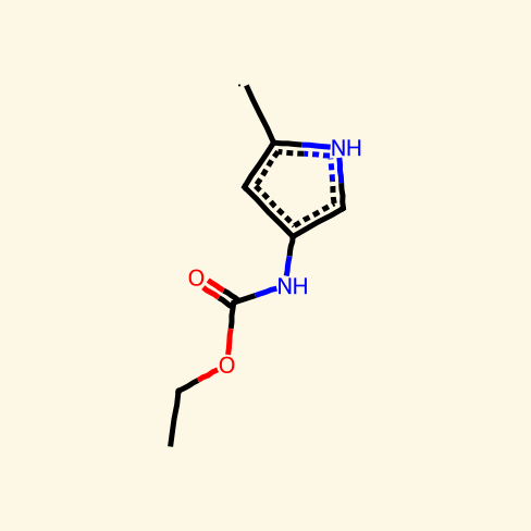 [CH2]c1cc(NC(=O)OCC)c[nH]1